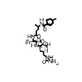 [2H]NC(=O)[C@@H](CCCNC(N)=O)NC(=O)[C@H](NC(=O)CCC(C)NC(=O)c1ccc(C)cc1)C(C)C